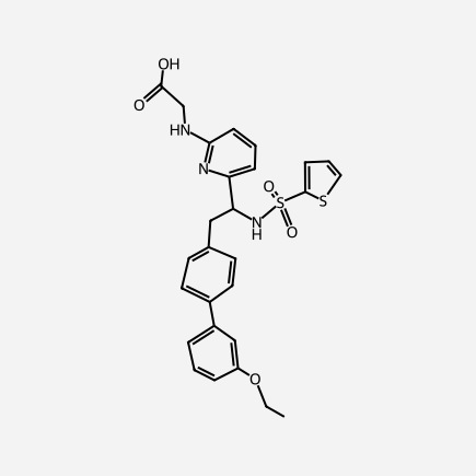 CCOc1cccc(-c2ccc(CC(NS(=O)(=O)c3cccs3)c3cccc(NCC(=O)O)n3)cc2)c1